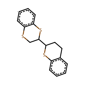 [c]1ccc2c(c1)SCC(C1CCc3ccccc3S1)S2